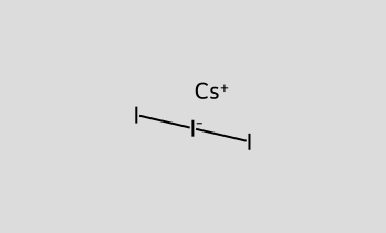 I[I-]I.[Cs+]